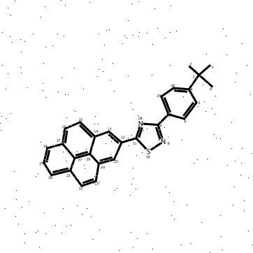 CC(C)(C)c1ccc(-c2nsc(-c3cc4ccc5cccc6ccc(c3)c4c56)n2)cc1